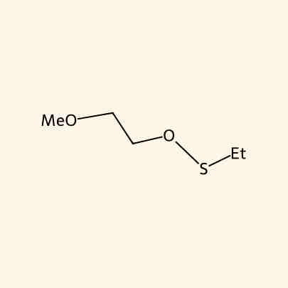 CCSOCCOC